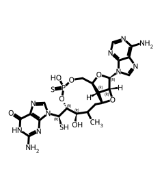 CC1CC23O[C@@H]4[C@H]2C3(COP(O)(=S)O[C@@H]([C@@H](S)n2cnc3c(=O)[nH]c(N)nc32)[C@@H]1O)O[C@H]4n1cnc2c(N)ncnc21